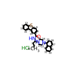 CCCC(NC(=O)c1ccc2sc3ccccc3c2c1)N1CCN(c2cccc3ccccc23)CC1.Cl